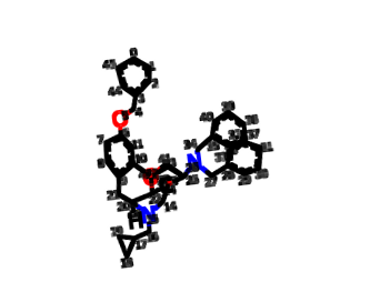 c1ccc(COc2ccc3c(c2)[C@]24CCN(CC5CC5)[C@H](C3)C23CCC(N(Cc2ccccc2)Cc2ccccc2)(CO3)C4)cc1